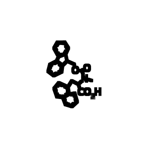 CN(C(=O)OCC1c2ccccc2-c2ccccc21)C(Cc1cccc2ccccc12)C(=O)O